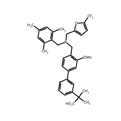 COc1cc(-c2cccc(C(C)(C)C(=O)O)c2)ccc1CN(Cc1ccc(C(F)(F)F)o1)Cc1c(C)cc(C)cc1C